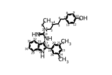 CCN(CCCCc1ccc(O)cc1)C(=N)Nc1c(-c2cc(C)cc(C)c2)[nH]c2ccccc12